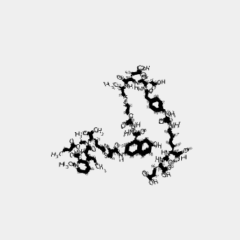 CCCC(=O)OCN(C(=O)[C@@H](NC(=O)[C@H]1CCCCN1C)C(C)CC)[C@H](CCc1nc(C(=O)N[C@H]2Cc3ccc(O)cc3[C@H](C(=O)NNC(=O)OCCSSC[C@@H](C)NC(=O)[C@H](CC(=O)O)NC(=O)[C@H](CC(=O)O)NC(=O)Cc3ccc(NC(=O)NCCCC[C@H](NC(=O)N[C@@H](CCC(=O)O)C(=O)O)C(=O)O)cc3)C2)cs1)C(C)C